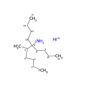 CCCCC(C)C(N)(CCCC)CCCC.I